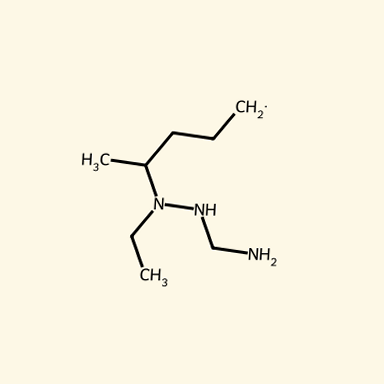 [CH2]CCC(C)N(CC)NCN